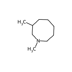 CC1CCCCCN(C)C1